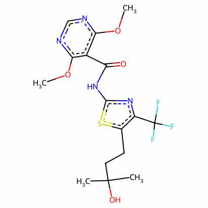 COc1ncnc(OC)c1C(=O)Nc1nc(C(F)(F)F)c(CCC(C)(C)O)s1